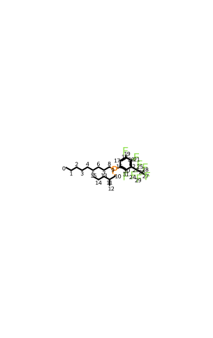 CCCCCCCCCP(CC(C)CCC)c1cc(F)c(F)c(C(F)(F)C(F)(F)F)c1F